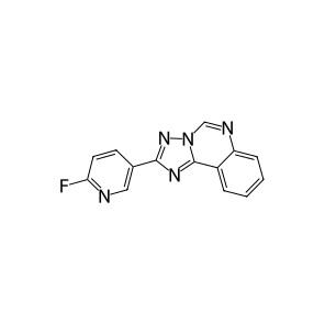 Fc1ccc(-c2nc3c4ccccc4ncn3n2)cn1